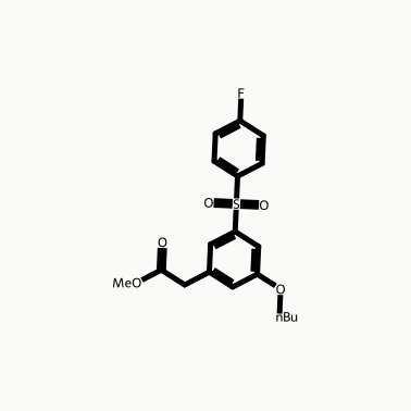 CCCCOc1cc(CC(=O)OC)cc(S(=O)(=O)c2ccc(F)cc2)c1